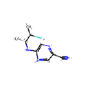 CC(F)[C@@H](C)Nc1cnc(C#N)cn1